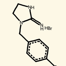 Br.N=C1NCCN1Cc1ccc(F)cc1